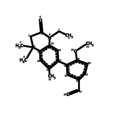 CCN1C(=O)CC(C)(C)c2cc(C)c(-c3cc(C=O)ccc3OC)cc21